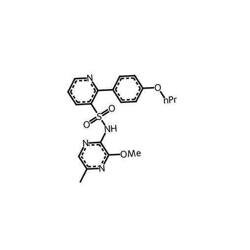 CCCOc1ccc(-c2ncccc2S(=O)(=O)Nc2ncc(C)nc2OC)cc1